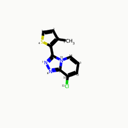 Cc1ccsc1-c1nnc2c(Cl)cccn12